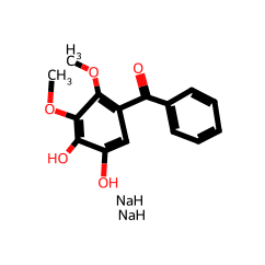 COc1c(C(=O)c2ccccc2)cc(O)c(O)c1OC.[NaH].[NaH]